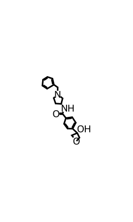 O=C(NC1CCN(Cc2ccccc2)C1)c1ccc(C2(O)COC2)cc1